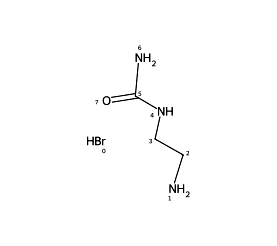 Br.NCCNC(N)=O